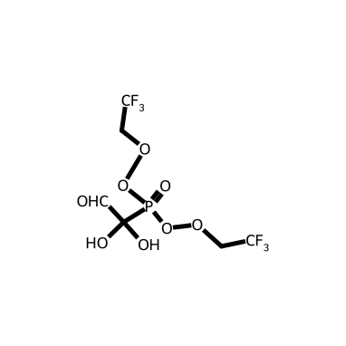 O=CC(O)(O)P(=O)(OOCC(F)(F)F)OOCC(F)(F)F